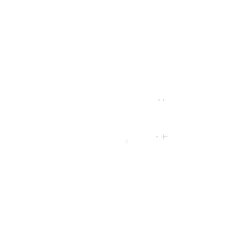 Cc1ccc(C(=O)O)cc1.[La]